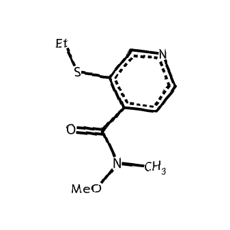 CCSc1cnccc1C(=O)N(C)OC